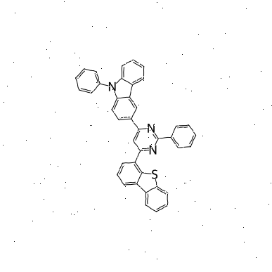 c1ccc(-c2nc(-c3ccc4c(c3)c3ccccc3n4-c3ccccc3)cc(-c3cccc4c3sc3ccccc34)n2)cc1